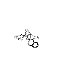 CCC(C)(C)C(=O)OC1(C)CCc2ccccc2C1C